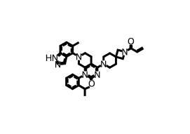 C=CC(=O)N1CC2(CCN(c3nc(=O)n(-c4ccccc4C(C)C)c4c3CCN(c3c(C)ccc5[nH]ncc35)C4)CC2)C1